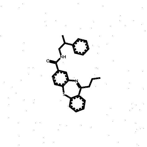 CCCC1=Nc2cc(C(=O)NCC(C)c3ccccc3)ccc2Sc2ccccc21